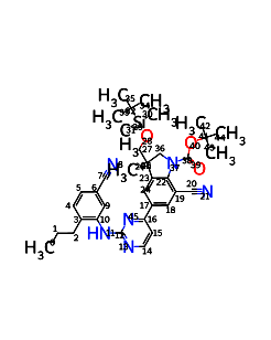 CCCc1ccc(C#N)cc1Nc1nccc(-c2cc(C#N)c3c(c2)[C@@](C)(CO[Si](C)(C)C(C)(C)C)CN3C(=O)OC(C)(C)C)n1